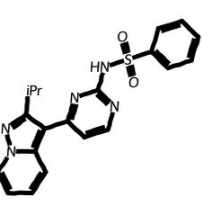 CC(C)c1nn2ccccc2c1-c1ccnc(NS(=O)(=O)c2ccccc2)n1